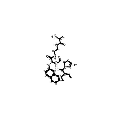 CCC(CC)C(=O)N1CCC[C@H]1C(=O)N[C@H](Cc1ccc2ccccc2c1)C(=O)NCCNC(=O)C(C)N.Cl